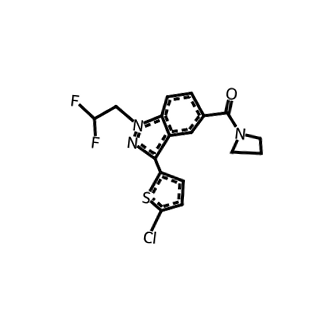 O=C(c1ccc2c(c1)c(-c1ccc(Cl)s1)nn2CC(F)F)N1CCC1